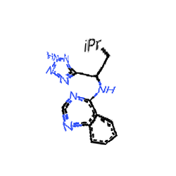 CC(C)CC(Nc1ncnc2ccccc12)c1nn[nH]n1